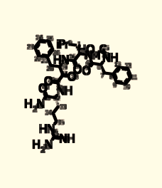 CC(C)C[C@H](NC(=O)[C@H](Cc1ccccc1)NC(=O)O)C(=O)NC(Cc1ccccc1)C(=O)C(=O)N[C@H](CCCNC(=N)N)C(N)=O